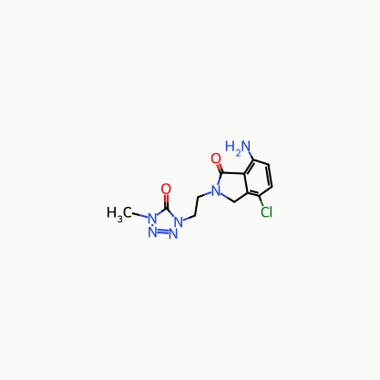 Cn1nnn(CCN2Cc3c(Cl)ccc(N)c3C2=O)c1=O